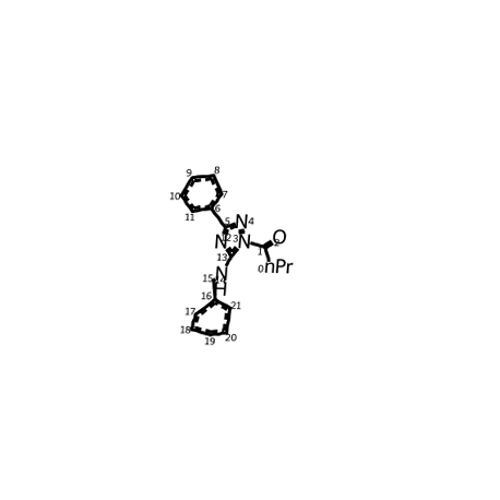 CCCC(=O)n1nc(-c2ccccc2)nc1NCc1ccccc1